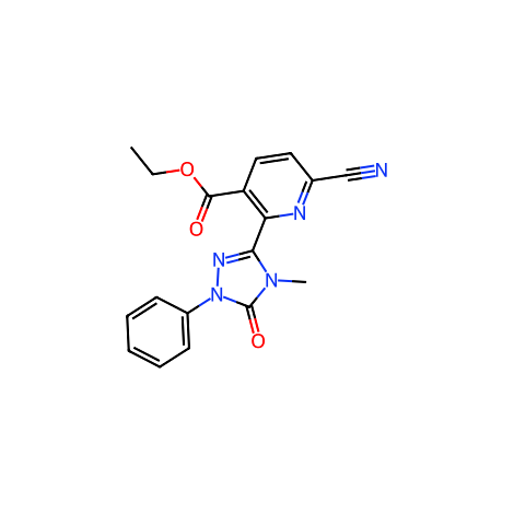 CCOC(=O)c1ccc(C#N)nc1-c1nn(-c2ccccc2)c(=O)n1C